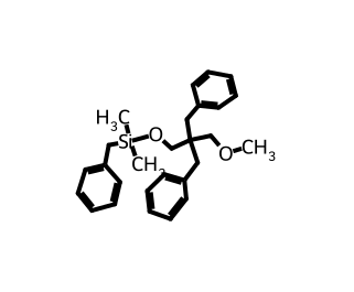 COCC(CO[Si](C)(C)Cc1ccccc1)(Cc1ccccc1)Cc1ccccc1